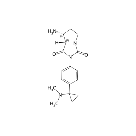 CN(C)C1(c2ccc(N3C(=O)[C@@H]4[C@H](N)CCN4C3=O)cc2)CC1